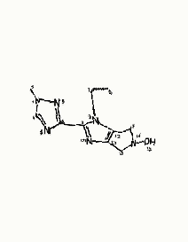 CCn1c(-c2ncn(C)n2)nc2c1CN(O)C2